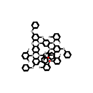 Fc1cccc(F)c1N1c2cc3c(cc2B2c4sc5ccccc5c4N(c4c(F)cccc4F)c4cc(Oc5ccccc5)cc1c42)B1c2cc4c(cc2Oc2cc(Oc5ccccc5)cc(c21)O3)N(c1c(F)cccc1F)c1cc(Oc2ccccc2)cc2c1B4c1sc3ccccc3c1N2c1c(F)cccc1F